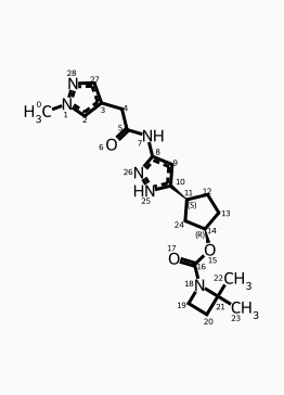 Cn1cc(CC(=O)Nc2cc([C@H]3CC[C@@H](OC(=O)N4CCC4(C)C)C3)[nH]n2)cn1